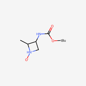 CC1C(NC(=O)OC(C)(C)C)C[NH+]1[O-]